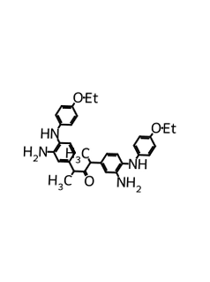 CCOc1ccc(Nc2ccc(C(C)C(=O)C(C)c3ccc(Nc4ccc(OCC)cc4)c(N)c3)cc2N)cc1